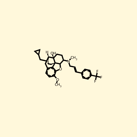 COc1ccc2c3c1OC1C(N(C)C/C=C/c4ccc(C(F)(F)F)cc4)CC[C@@]4(O)[C@@H](C2)N(CC2CC2)CC[C@]314